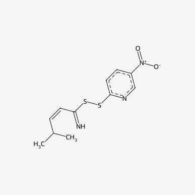 CC(C)/C=C\C(=N)SSc1ccc([N+](=O)[O-])cn1